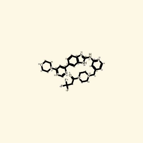 O=C(CC(F)(F)F)N1CCN(Cc2ccnc(Nc3nc4ccc(-c5cc(N6CCOCC6)ncn5)cc4[nH]3)c2)CC1